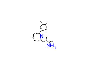 C=C(N)C(=C)/C=C1/CC/C=C\C=C(\c2ccc(C)c(C)c2)N1C